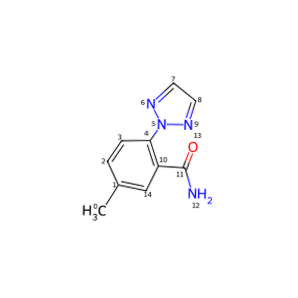 Cc1ccc(-n2nccn2)c(C(N)=O)c1